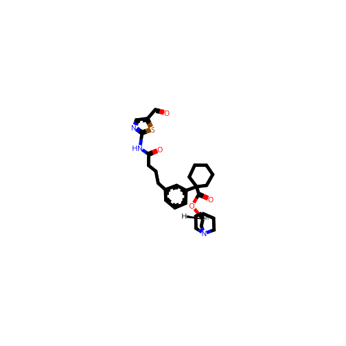 O=Cc1cnc(NC(=O)CCCc2cccc(C3(C(=O)O[C@H]4CN5CCC4CC5)CCCCC3)c2)s1